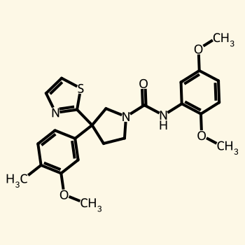 COc1ccc(OC)c(NC(=O)N2CCC(c3ccc(C)c(OC)c3)(c3nccs3)C2)c1